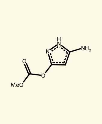 COC(=O)Oc1cc(N)[nH]n1